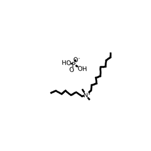 CCCCCCCCCC[N+](C)(C)CCCCCCC.O=P([O-])(O)O